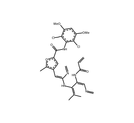 C=CC(=O)N/C(=C/N=C)C(N/C(=C/c1cc(C(=O)Nc2c(Cl)c(OC)cc(OC)c2Cl)oc1C)N=C)=C(C)C